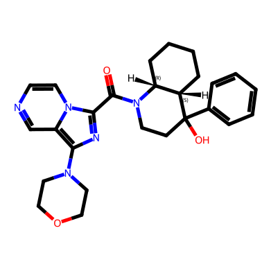 O=C(c1nc(N2CCOCC2)c2cnccn12)N1CCC(O)(c2ccccc2)[C@H]2CCCC[C@H]21